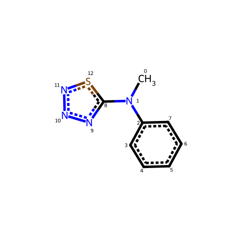 CN(c1ccccc1)c1nnns1